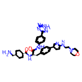 NC[C@H]1CC[C@H](C(=O)N[C@@H](Cc2ccc(-c3ccc(NCCN4CCOCC4)nc3)cc2)C(=O)Nc2ccc(-c3nn[nH]n3)cc2)CC1